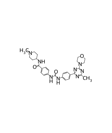 Cc1nc(-c2ccc(NC(=O)Nc3ccc(C(=O)NC4CCN(C)CC4)cc3)cc2)nc(N2CCOCC2)n1